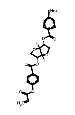 C=CC(=O)Oc1ccc(C(=O)O[C@@H]2CO[C@H]3[C@@H]2OC[C@H]3OC(=O)c2ccc(CCCCCC)cc2)cc1